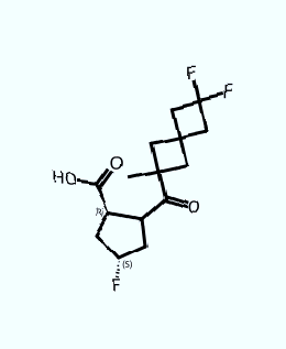 CC1(C(=O)C2C[C@H](F)C[C@H]2C(=O)O)CC2(CC(F)(F)C2)C1